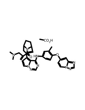 C=C(CN(C)C)C(=O)N1C2C=C(c3ccn4ncnc(Nc5ccc(Oc6ccn7ncnc7c6)c(C)c5)c34)CC1CC2.CC(=O)O